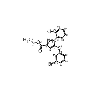 CCOC(=O)c1cc(Sc2cccc(Br)c2)n(-c2ccccc2Cl)n1